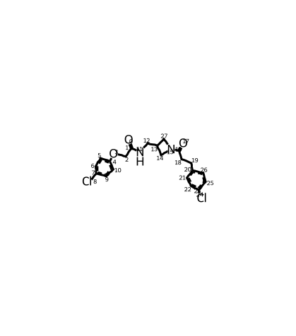 O=C(COc1ccc(Cl)cc1)NCC1CN(C(=O)CCc2ccc(Cl)cc2)C1